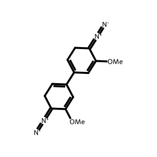 COC1=CC(C2=CCC(=[N+]=[N-])C(OC)=C2)=CCC1=[N+]=[N-]